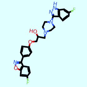 OC(COc1ccc(-c2noc3cc(F)ccc23)cc1)CN1CCN(c2n[nH]c3cc(F)ccc23)CC1